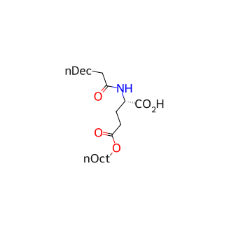 CCCCCCCCCCCC(=O)N[C@@H](CCC(=O)OCCCCCCCC)C(=O)O